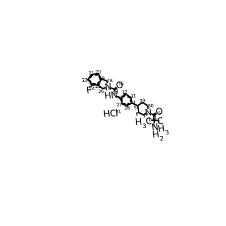 CC(C)(N)C(=O)N1CCC(c2ccc(NC(=O)N3Cc4cccc(F)c4C3)cc2)CC1.Cl